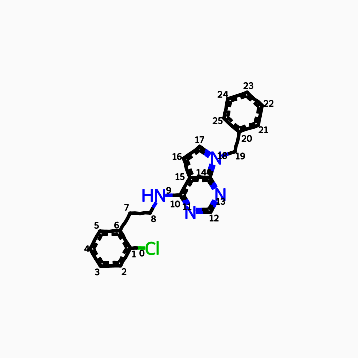 Clc1ccccc1CCNc1ncnc2c1ccn2Cc1ccccc1